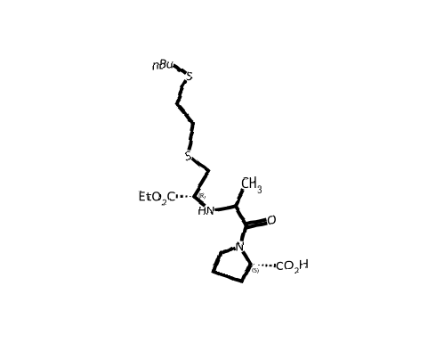 CCCCSCCSC[C@H](NC(C)C(=O)N1CCC[C@H]1C(=O)O)C(=O)OCC